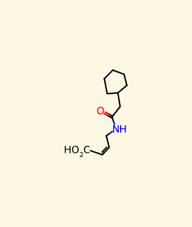 O=C(O)/C=C\CNC(=O)CC1CCCCC1